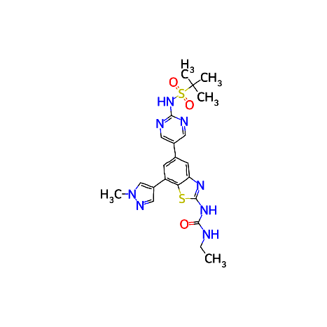 CCNC(=O)Nc1nc2cc(-c3cnc(NS(=O)(=O)C(C)(C)C)nc3)cc(-c3cnn(C)c3)c2s1